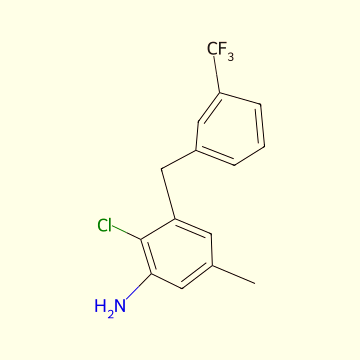 Cc1cc(N)c(Cl)c(Cc2cccc(C(F)(F)F)c2)c1